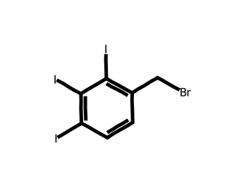 BrCc1ccc(I)c(I)c1I